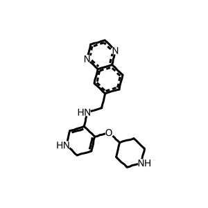 C1=C(NCc2ccc3nccnc3c2)C(OC2CCNCC2)=CCN1